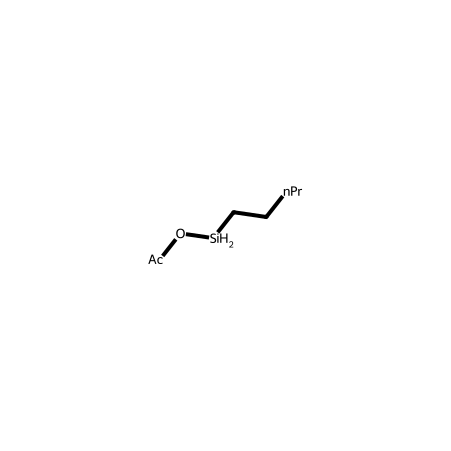 [CH2]C(=O)O[SiH2]CCCCC